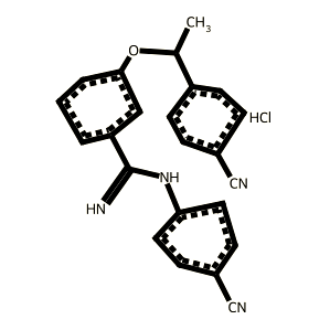 CC(Oc1cccc(C(=N)Nc2ccc(C#N)cc2)c1)c1ccc(C#N)cc1.Cl